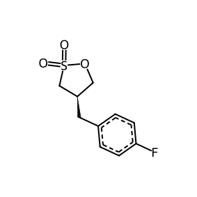 O=S1(=O)C[C@H](Cc2ccc(F)cc2)CO1